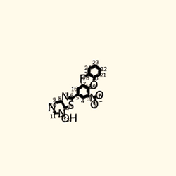 O=[N+]([O-])c1cc(C2=NC3=CN=CN(O)C3S2)ccc1Oc1ccccc1F